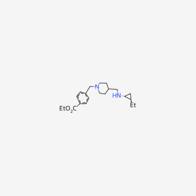 CCOC(=O)c1ccc(CN2CCC(CN[C@@H]3C[C@H]3CC)CC2)cc1